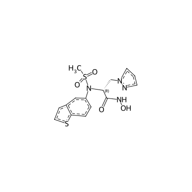 CS(=O)(=O)N(c1ccc2sccc2c1)[C@H](Cn1cccn1)C(=O)NO